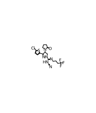 N#CNC(=NCCCC(F)(F)F)N1CC(N2CCCC2=O)C(c2ccc(Cl)s2)=N1